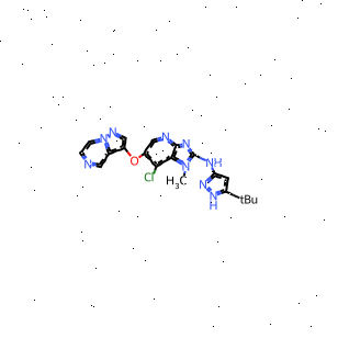 Cn1c(Nc2cc(C(C)(C)C)[nH]n2)nc2ncc(Oc3cnn4ccncc34)c(Cl)c21